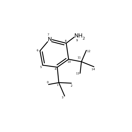 CC(C)(C)c1ccnc(N)c1C(C)(C)C